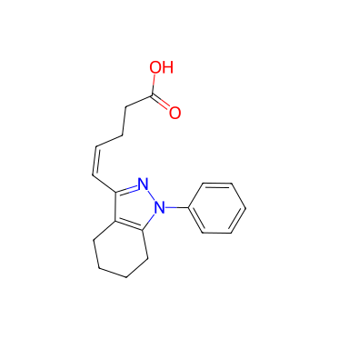 O=C(O)CC/C=C\c1nn(-c2ccccc2)c2c1CCCC2